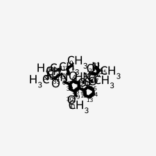 CCCC(=O)N(Cc1ccc(-c2ccccc2S(=O)(=O)Nc2onc(C)c2C)c(COC)c1)[C@H](C(=O)N(C)C)C(C)C